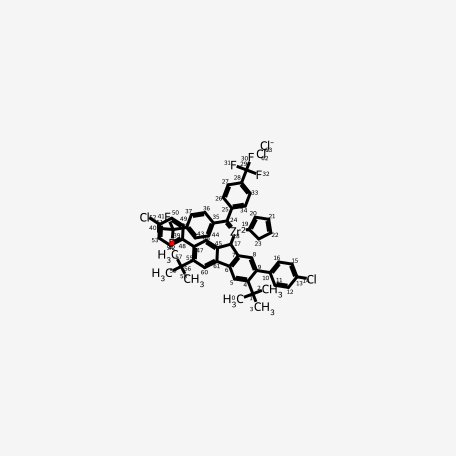 CC(C)(C)c1cc2c(cc1-c1ccc(Cl)cc1)[CH]([Zr+2]([C]1=CC=CC1)=[C](c1ccc(C(F)(F)F)cc1)c1ccc(C(F)(F)F)cc1)c1cc(-c3ccc(Cl)cc3)c(C(C)(C)C)cc1-2.[Cl-].[Cl-]